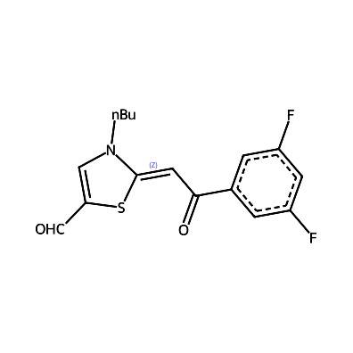 CCCCN1C=C(C=O)S/C1=C\C(=O)c1cc(F)cc(F)c1